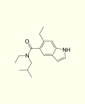 CCc1cc2[nH]ccc2cc1C(=O)N(CC)CC(C)C